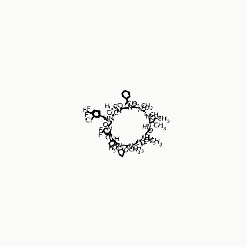 CC[C@H](C)[C@@H]1NC(=O)[C@H](CC(C)C)N(C)C(=O)C[C@@H](C)N(C)C(=O)[C@H](C2CCCC2)N(C)C(=O)C2(CCCC2)NC(=O)[C@@H]2CC(F)(F)CN2C(=O)[C@H](CCc2ccc(C(F)(F)F)c(Cl)c2)NC(=O)CN(C)C(=O)[C@H](CCC2CCCCC2)N(C)C(=O)CN(C)C(=O)CN(C)C1=O